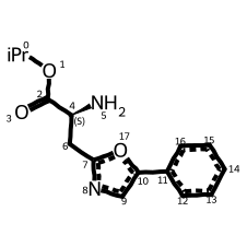 CC(C)OC(=O)[C@@H](N)Cc1ncc(-c2ccccc2)o1